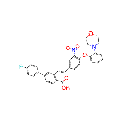 O=C(O)c1ccc(-c2ccc(F)cc2)cc1/C=C/c1ccc(Oc2ccccc2N2CCOCC2)c([N+](=O)[O-])c1